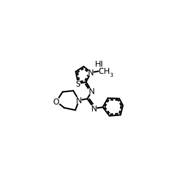 Cn1ccsc1=NC(=Nc1ccccc1)N1CCOCC1.I